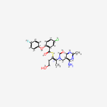 C/C(=C(\CCO)SC(=O)c1cc(Cl)ccc1Oc1ccc(F)cc1)N(C=O)Cc1cnc(C)nc1N